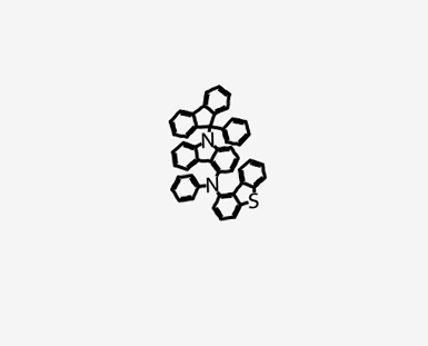 c1ccc(N(c2cccc3sc4ccccc4c23)c2cccc3c2c2ccccc2n3C2(c3ccccc3)c3ccccc3-c3ccccc32)cc1